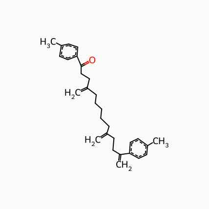 C=C(CCCCCC(=C)CCC(=O)c1ccc(C)cc1)CCC(=C)c1ccc(C)cc1